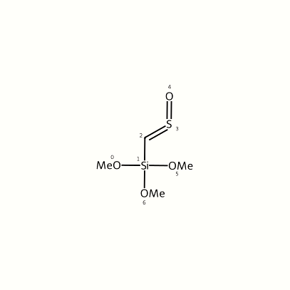 CO[Si](C=S=O)(OC)OC